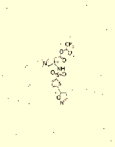 C[N+](C)(C)C[C@@H](CC(=O)OC(=O)C(F)(F)F)NS(=O)(=O)c1ccc(-c2ccno2)s1